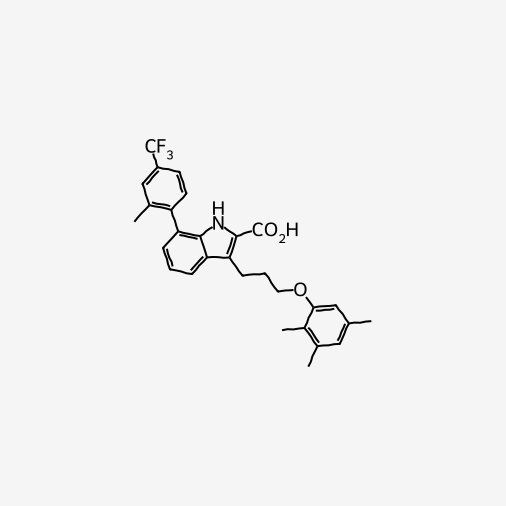 Cc1cc(C)c(C)c(OCCCc2c(C(=O)O)[nH]c3c(-c4ccc(C(F)(F)F)cc4C)cccc23)c1